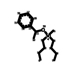 CCC[CH2][Sn]([CH3])([CH2]CCC)[O]C(C)c1ccccc1